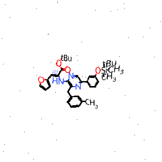 Cc1cccc(Cc2nc(-c3cccc(O[Si](C)(C)C(C)(C)C)c3)cnc2N/C(=C\c2ccco2)C(=O)OC(C)(C)C)c1